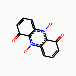 O=C1C=CC=c2c1[n+]([O-])c1c([n+]2[O-])C(=O)C=CC=1